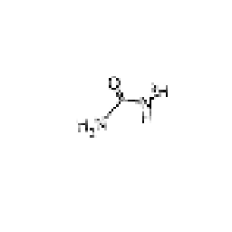 [3H]NC(N)=O